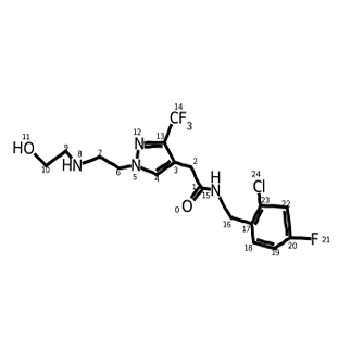 O=C(Cc1cn(CCNCCO)nc1C(F)(F)F)NCc1ccc(F)cc1Cl